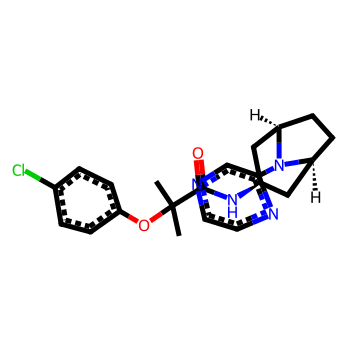 CC(C)(Oc1ccc(Cl)cc1)C(=O)N[C@H]1C[C@H]2CC[C@@H](C1)N2c1cnccn1